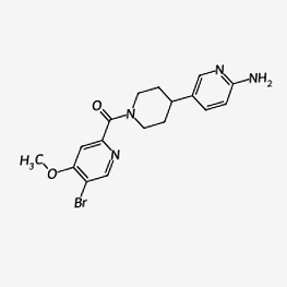 COc1cc(C(=O)N2CCC(c3ccc(N)nc3)CC2)ncc1Br